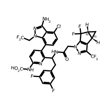 Nc1nn(CC(F)(F)F)c2c(-c3ccc(NC(=O)O)nc3C(Cc3cc(F)cc(F)c3)NC(=O)Cn3nc(C(F)(F)F)c4c3C(F)(F)[C@@H]3C[C@H]43)ccc(Cl)c12